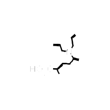 C=CCN(CC=C)C(=C)CC=C(C)C(=O)O